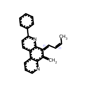 C=c1/c(=C\C=C/C)c2nc(-c3ccccc3)ccc2c2cccnc12